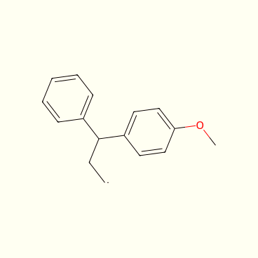 [CH2]CC(c1ccccc1)c1ccc(OC)cc1